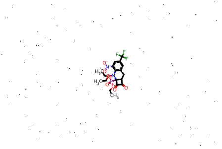 CCON1c2c(cc(C(F)(F)F)cc2[N+](=O)[O-])CC2C(=O)C(=O)C21P(=O)(OCC)OCC